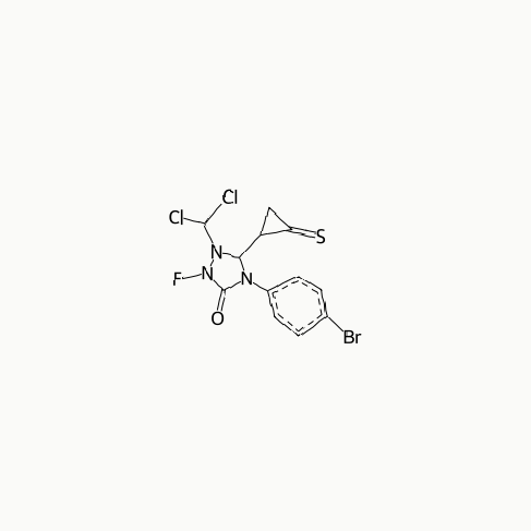 O=C1N(c2ccc(Br)cc2)C(C2CC2=S)N(C(Cl)Cl)N1F